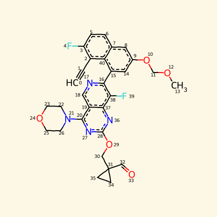 C#Cc1c(F)ccc2cc(OCOC)cc(-c3ncc4c(N5CCOCC5)nc(OCC5(C=O)CC5)nc4c3F)c12